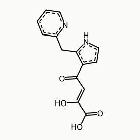 O=C(O)C(O)=CC(=O)c1cc[nH]c1Cc1ccccn1